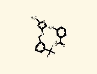 Cc1nc(OCc2cccc(C(F)(F)F)c2)cs1.Nc1cccc(C(=O)O)c1